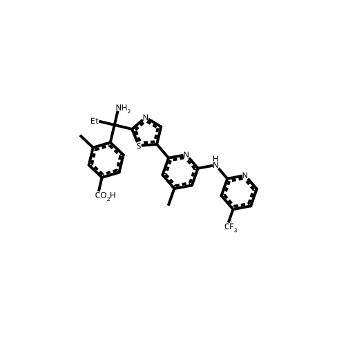 CCC(N)(c1ncc(-c2cc(C)cc(Nc3cc(C(F)(F)F)ccn3)n2)s1)c1ccc(C(=O)O)cc1C